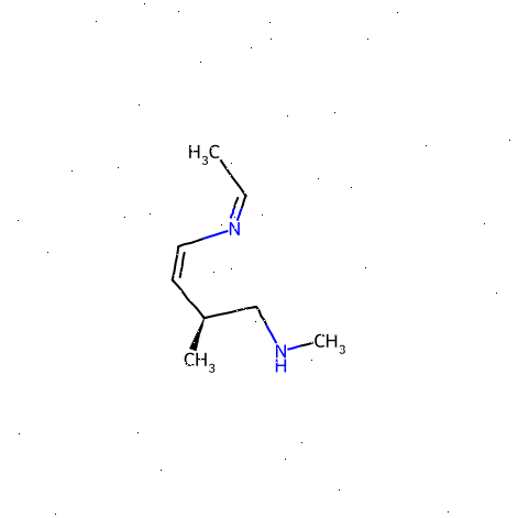 C/C=N\C=C/[C@H](C)CNC